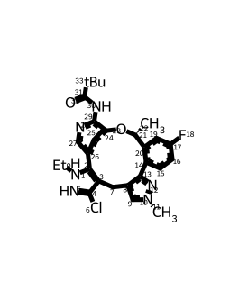 CCN/C1=C(\C(=N)Cl)Cc2cn(C)nc2-c2ccc(F)cc2[C@@H](C)Oc2cc1cnc2NC(=O)C(C)(C)C